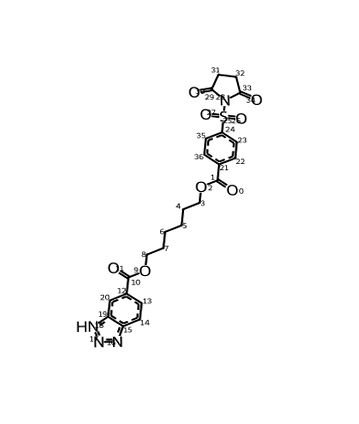 O=C(OCCCCCCOC(=O)c1ccc2nn[nH]c2c1)c1ccc(S(=O)(=O)N2C(=O)CCC2=O)cc1